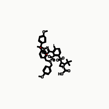 COc1ccc(CN(Cc2ccc(OC)cc2)S(=O)(=O)c2c(S(=O)(=O)C3CN(C(=O)O)C3C(C)(C)C)ccc(I)c2-c2nnn(Cc3ccc(OC)cc3)n2)cc1